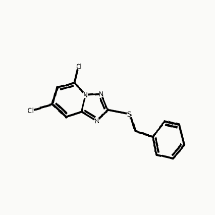 Clc1cc(Cl)n2nc(SCc3ccccc3)nc2c1